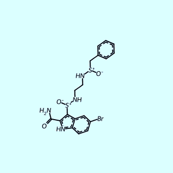 NC(=O)c1[nH]c2ccc(Br)cc2c1[S+]([O-])NCCN[S+]([O-])Cc1ccccc1